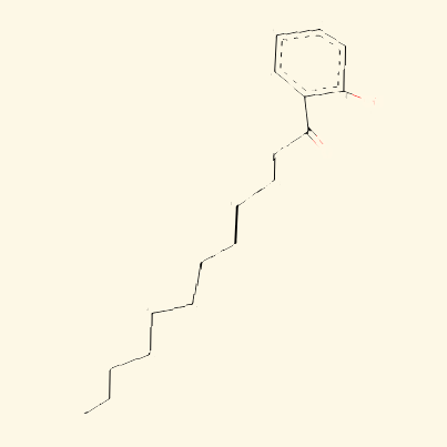 CCCCCCCCCCCC(=O)c1ccccc1O